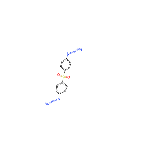 N=[N+]=Nc1ccc(S(=O)(=O)c2ccc(N=[N+]=N)cc2)cc1